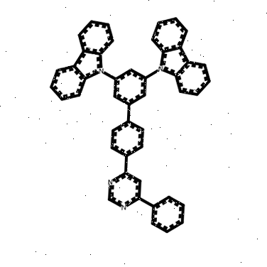 c1ccc(-c2cc(-c3ccc(-c4cc(-n5c6ccccc6c6ccccc65)cc(-n5c6ccccc6c6ccccc65)c4)cc3)ncn2)cc1